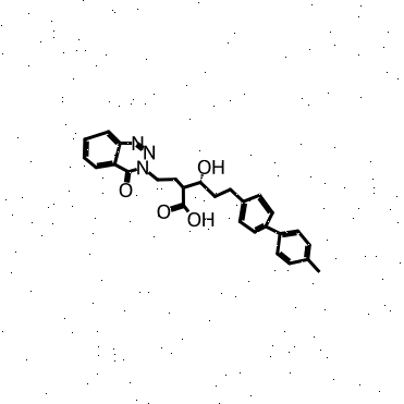 Cc1ccc(-c2ccc(CC[C@@H](O)C(CCn3nnc4ccccc4c3=O)C(=O)O)cc2)cc1